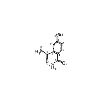 CC(C)(C)c1ccc(C(N)=O)c(C(N)=O)c1